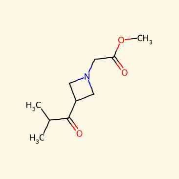 COC(=O)CN1CC(C(=O)C(C)C)C1